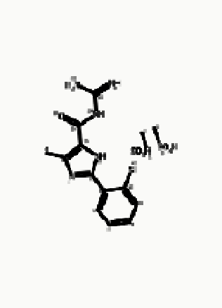 CS(=O)(=O)O.CS(=O)(=O)O.Cc1nc(-c2ccccc2Cl)[nH]c1C(=O)NC(=N)N